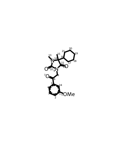 COc1cccc(C(=O)CN2C(=O)N(C)C(C)(C3CCCCC3)C2=O)c1